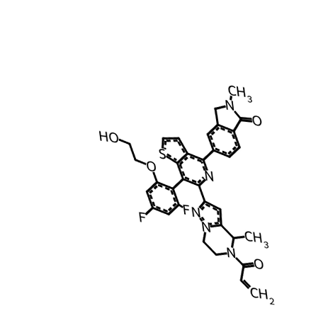 C=CC(=O)N1CCn2nc(-c3nc(-c4ccc5c(c4)CN(C)C5=O)c4ccsc4c3-c3c(F)cc(F)cc3OCCO)cc2C1C